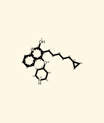 Oc1nc2ccccc2c(OC2CCNCC2)c1CCCCCC1CC1